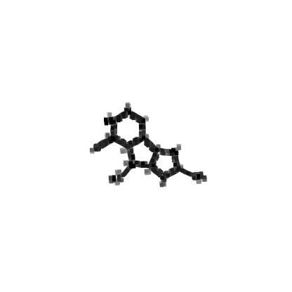 Cc1nc2c3cn[nH]c(=O)c3n(C)c2s1